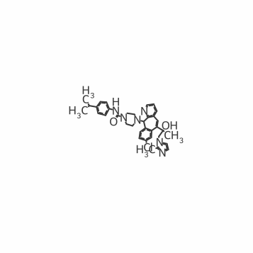 Cc1nccn1CC(C)(O)C1=Cc2cccnc2C(N2CCN(C(=O)Nc3ccc(C(C)C)cc3)CC2)c2ccc(Cl)cc21